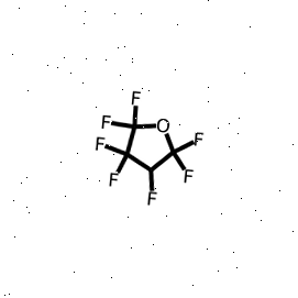 FC1C(F)(F)OC(F)(F)C1(F)F